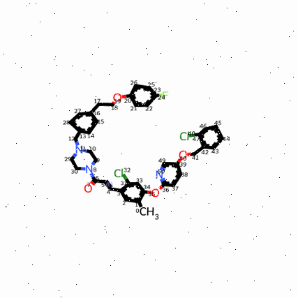 Cc1cc(/C=C/C(=O)N2CCN(Cc3ccc(CCOc4ccc(F)cc4)cc3)CC2)c(Cl)cc1Oc1ccc(OCc2ccccc2Cl)cn1